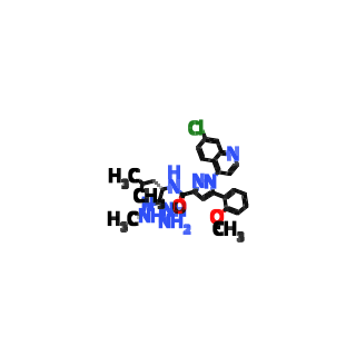 CN/N=C(\NN)[C@H](CC(C)C)NC(=O)c1cc(-c2ccccc2OC)n(-c2ccnc3cc(Cl)ccc23)n1